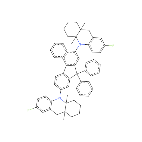 CC12CCCCC1(C)N(c1ccc3c(c1)C(c1ccccc1)(c1ccccc1)c1cc(N4c5ccc(F)cc5CC5(C)CCCCC45C)c4ccccc4c1-3)c1ccc(F)cc1C2